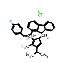 CC1=[C](/[Zr+2](=[CH]/c2ccc(F)cc2)[c]2cccc3c2Cc2ccccc2-3)C(C)C=C1C(C)C.[Cl-].[Cl-]